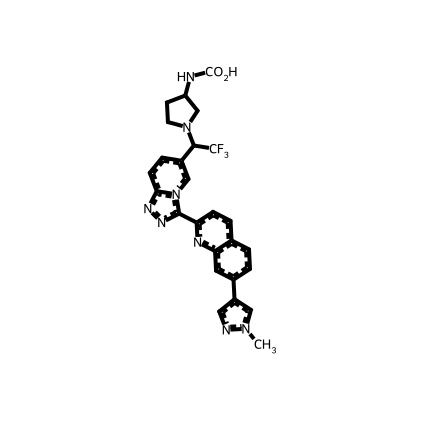 Cn1cc(-c2ccc3ccc(-c4nnc5ccc(C(N6CCC(NC(=O)O)C6)C(F)(F)F)cn45)nc3c2)cn1